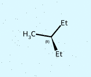 [CH2]C[C@@H](C)CC